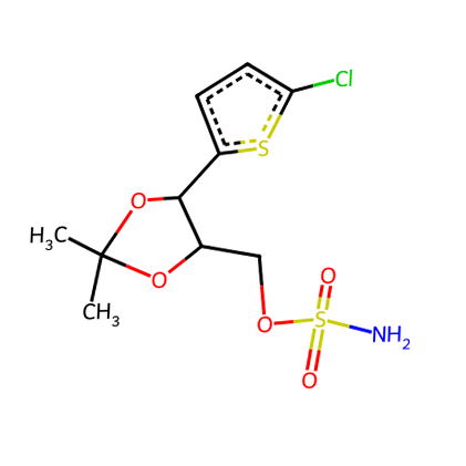 CC1(C)OC(COS(N)(=O)=O)C(c2ccc(Cl)s2)O1